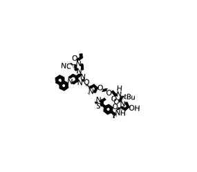 C=CC(=O)N1CCN(c2nc(OC[C@@H]3C[C@@H](OCCOCC(=O)N[C@H](C(=O)N4C[C@H](O)C[C@H]4C(=O)N[C@@H](C)c4ccc(-c5scnc5C)cc4)C(C)(C)C)CN3C)nc3c2CCN(c2cccc4ccccc24)C3)C[C@@H]1CC#N